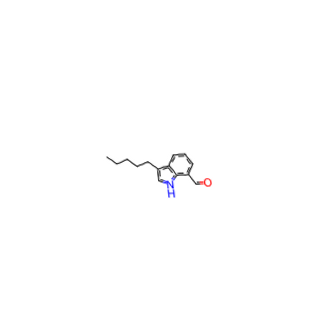 CCCCCc1c[nH]c2c(C=O)cccc12